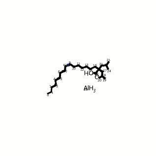 CCCCCCCC/C=C\CCCCCCC(CC(C)C)(CC(C)C)C(=O)O.[AlH3]